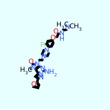 CN(C)CCNC(=O)COc1ccc(N2CCN(CCn3c(=O)n(C)c4c3nc(N)n3nc(-c5ccco5)cc43)CC2)c(F)c1